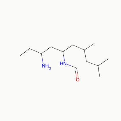 CCC(N)CC(CC(C)CC(C)C)NC=O